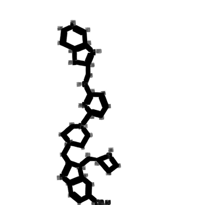 O=C(O)c1ccc2nc(CN3CCN(c4cccc(OCc5nc6cnccc6s5)n4)CC3)n(C[C@@H]3CCO3)c2c1